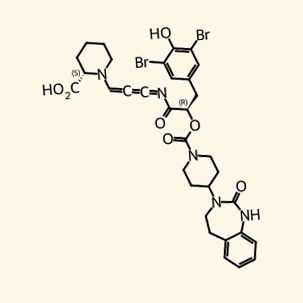 O=C(N=C=C=CN1CCCC[C@H]1C(=O)O)[C@@H](Cc1cc(Br)c(O)c(Br)c1)OC(=O)N1CCC(N2CCc3ccccc3NC2=O)CC1